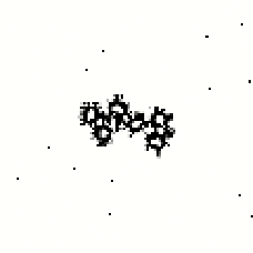 c1ccc2c(c1)oc1cccc(-c3ccc4oc5c(-n6c7ccccc7c7ccccc76)cccc5c4c3)c12